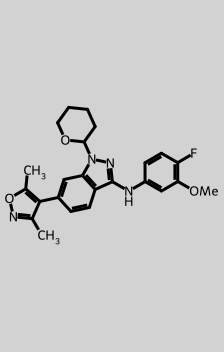 COc1cc(Nc2nn(C3CCCCO3)c3cc(-c4c(C)noc4C)ccc23)ccc1F